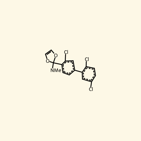 CNC1(c2ccc(-c3cc(Cl)ccc3Cl)cc2Cl)OC=CO1